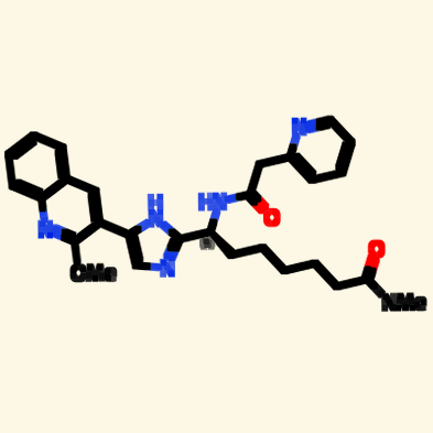 CNC(=O)CCCCC[C@H](NC(=O)Cc1ccccn1)c1ncc(-c2cc3ccccc3nc2OC)[nH]1